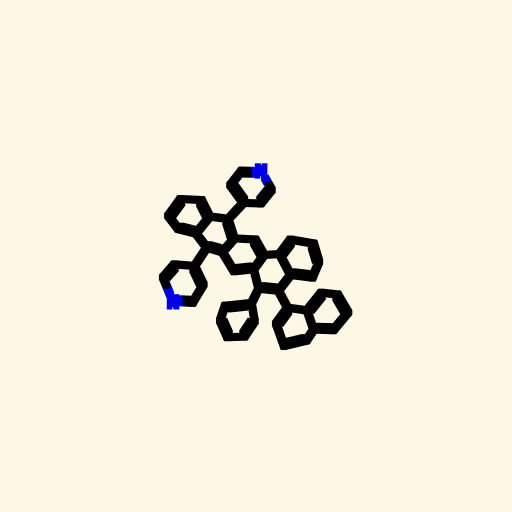 c1ccc(-c2c(-c3cccc4ccccc34)c3ccccc3c3cc4c(-c5ccncc5)c5ccccc5c(-c5ccncc5)c4cc23)cc1